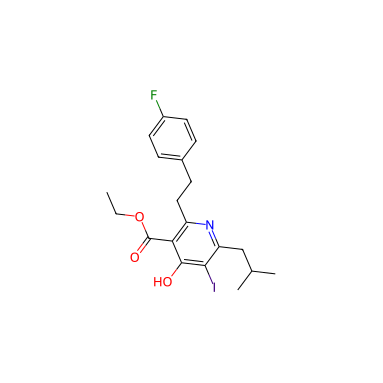 CCOC(=O)c1c(CCc2ccc(F)cc2)nc(CC(C)C)c(I)c1O